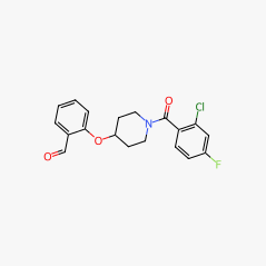 O=Cc1ccccc1OC1CCN(C(=O)c2ccc(F)cc2Cl)CC1